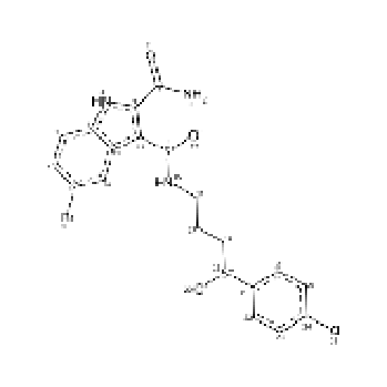 NC(=O)c1[nH]c2ccc(Br)cc2c1[S+]([O-])NCCC[S+]([O-])c1ccc(Cl)cc1